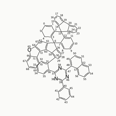 C1=CC2=C(CC1)C1(c3ccccc3C23c2ccccc2-c2ccccc23)c2cccc(-c3ccccc3-c3nc(-c4ccccc4)nc(-c4cccc5ccccc45)n3)c2-c2c1ccc1oc3ccccc3c21